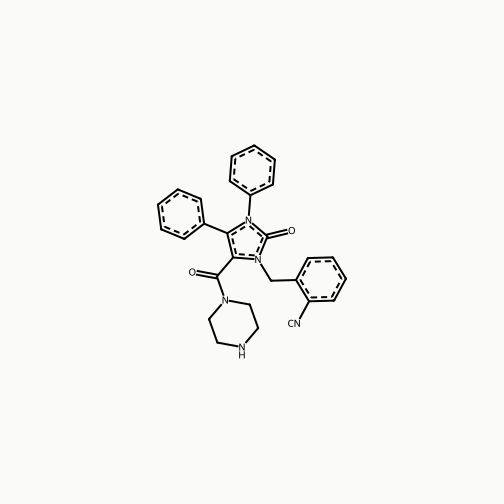 [C-]#[N+]c1ccccc1Cn1c(C(=O)N2CCNCC2)c(-c2ccccc2)n(-c2ccccc2)c1=O